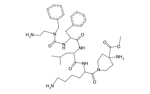 COC(=O)C1(N)CCN(C(=O)C(CCCCN)NC(=O)C(CC(C)C)NC(=O)C(Cc2ccccc2)NC(=O)N(CCN)Cc2ccccc2)CC1